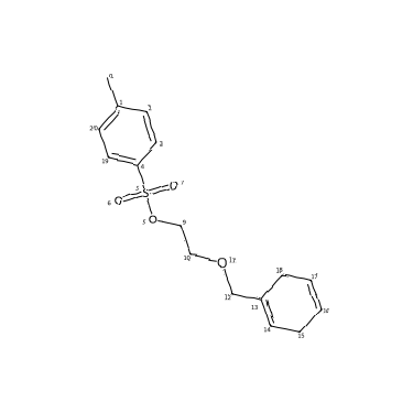 Cc1ccc(S(=O)(=O)OCCOCC2=CCC=CC2)cc1